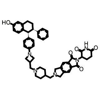 O=C1CCC(N2C(=O)c3cc4c(cc3C2=O)CN(CC2CCN(CC3CN(c5ccc([C@@H]6c7ccc(O)cc7CC[C@@H]6c6ccccc6)cc5)C3)CC2)C4)C(=O)N1